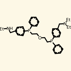 CCNCc1ccc(P(CCOCCP(c2ccccc2)c2ccc(CN(CC)CC)cc2)c2ccccc2)cc1